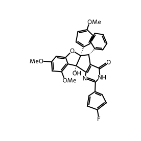 COc1ccc([C@@]23Oc4cc(OC)cc(OC)c4[C@]2(O)c2nc(-c4ccc(F)cc4)[nH]c(=O)c2[C@H]3c2ccccc2)cc1